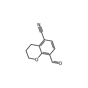 N#Cc1ccc(C=O)c2c1CCCO2